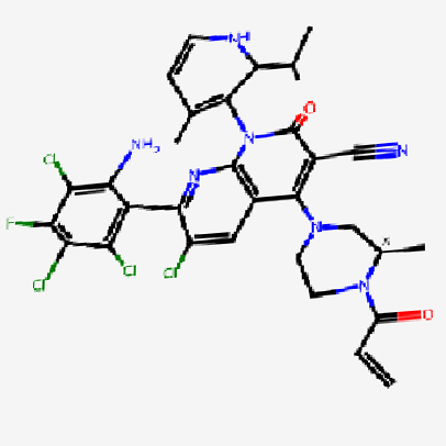 C=CC(=O)N1CCN(c2c(C#N)c(=O)n(C3=C(C)C=CNC3C(C)C)c3nc(-c4c(N)c(Cl)c(F)c(Cl)c4Cl)c(Cl)cc23)C[C@H]1C